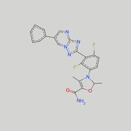 CC1=C(C(N)=O)OC(C)N1c1ccc(F)c(-c2nc3ncc(-c4ccccc4)cn3n2)c1F